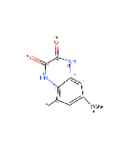 COc1cc(C)c2[nH]c(=O)c(=O)[nH]c2c1